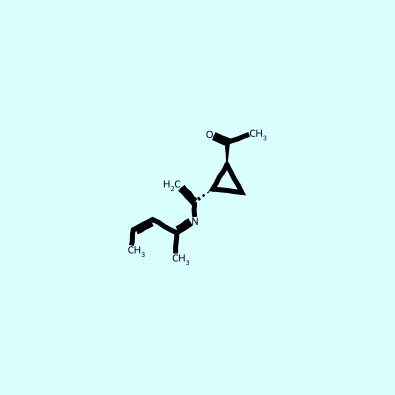 C=C(/N=C(C)\C=C/C)[C@H]1C[C@@H]1C(C)=O